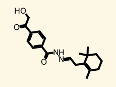 CC1=C(C/C=N/NC(=O)c2ccc(C(=O)CO)cc2)C(C)(C)CCC1